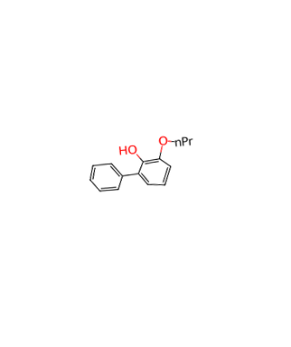 [CH2]CCOc1cccc(-c2ccccc2)c1O